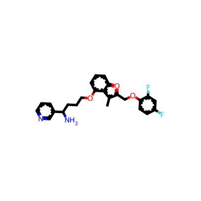 Cc1c(COc2ccc(F)cc2F)oc2cccc(OCCCC(N)c3cccnc3)c12